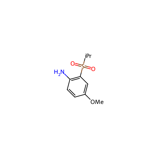 COc1ccc(N)c(S(=O)(=O)C(C)C)c1